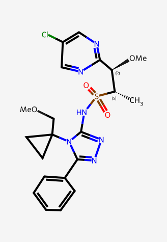 COCC1(n2c(NS(=O)(=O)[C@@H](C)[C@H](OC)c3ncc(Cl)cn3)nnc2-c2ccccc2)CC1